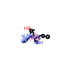 Cc1cc(O)cc(C)c1CC(NC(=O)C(N)CCCn1ccnc1N)C(=O)NC(Cc1c[nH]cn1)c1nc(Cc2ccc(-c3ccccc3)cc2)no1